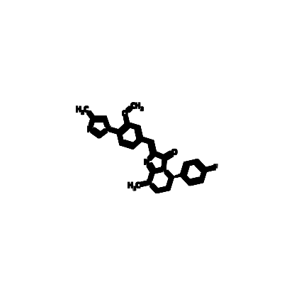 COc1cc(/C=C2\N=C3N(C)CC[C@@H](c4ccc(F)cc4)N3C2=O)ccc1-n1cnc(C)c1